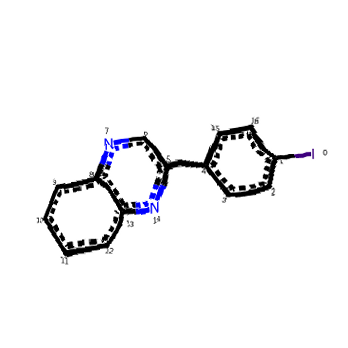 Ic1ccc(-c2cnc3ccccc3n2)cc1